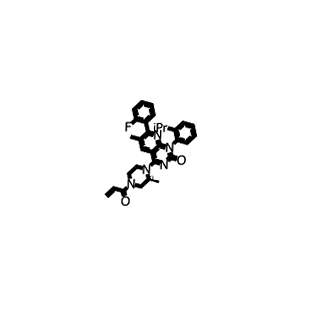 C=CC(=O)N1CCN(c2nc(=O)n(-c3ccccc3C(C)C)c3nc(-c4ccccc4F)c(C)cc23)[C@@H](C)C1